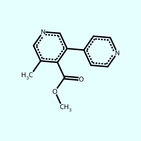 COC(=O)c1c(C)cncc1-c1ccncc1